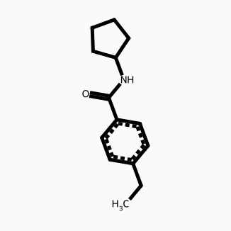 CCc1ccc(C(=O)NC2CCCC2)cc1